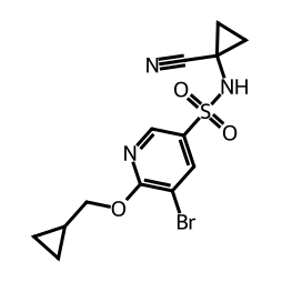 N#CC1(NS(=O)(=O)c2cnc(OCC3CC3)c(Br)c2)CC1